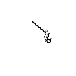 C=CCCCCCCCCC(=O)OC(C)CC(=O)C1C(C)=CCCC1(C)C